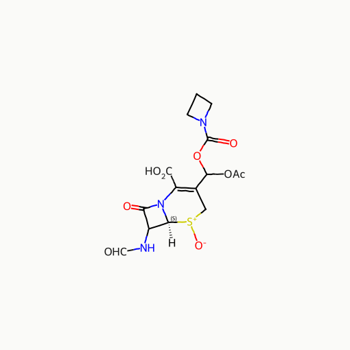 CC(=O)OC(OC(=O)N1CCC1)C1=C(C(=O)O)N2C(=O)C(NC=O)[C@@H]2[S+]([O-])C1